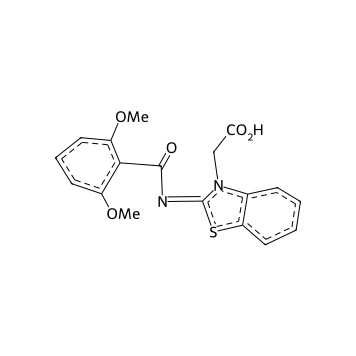 COc1cccc(OC)c1C(=O)N=c1sc2ccccc2n1CC(=O)O